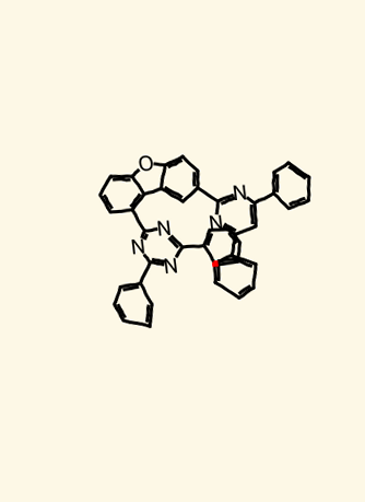 c1ccc(-c2cc(-c3ccccc3)nc(-c3ccc4oc5cccc(-c6nc(-c7ccccc7)nc(-c7ccccc7)n6)c5c4c3)n2)cc1